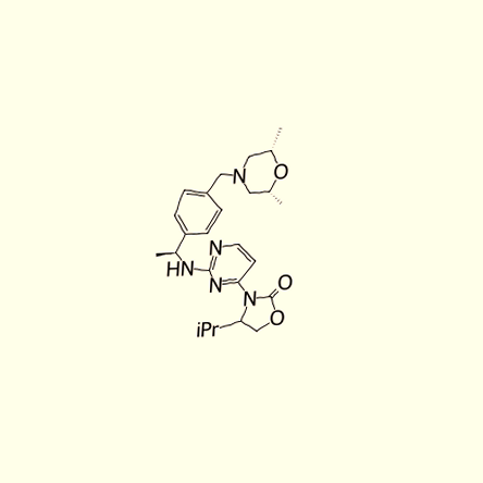 CC(C)C1COC(=O)N1c1ccnc(N[C@@H](C)c2ccc(CN3C[C@@H](C)O[C@@H](C)C3)cc2)n1